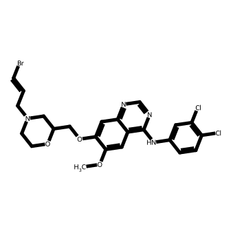 COc1cc2c(Nc3ccc(Cl)c(Cl)c3)ncnc2cc1OCC1CN(CC=CBr)CCO1